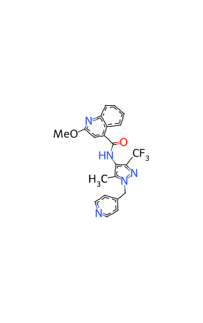 COc1cc(C(=O)Nc2c(C(F)(F)F)nn(Cc3ccncc3)c2C)c2ccccc2n1